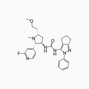 COCC[C@@H]1C[C@@H](NC(=O)Nc2c3c(nn2-c2ccccc2)CCC3)[C@H](c2ccnc(F)c2)N1C